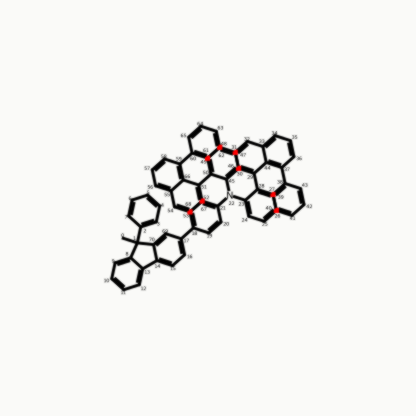 CC1(c2ccccc2)c2ccccc2-c2ccc(-c3ccc(N(c4ccccc4-c4cccc5cccc(-c6ccccc6)c45)c4ccccc4-c4cccc5cccc(-c6ccccc6)c45)cc3)cc21